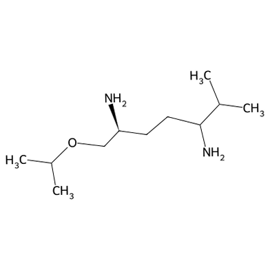 CC(C)OC[C@@H](N)CCC(N)C(C)C